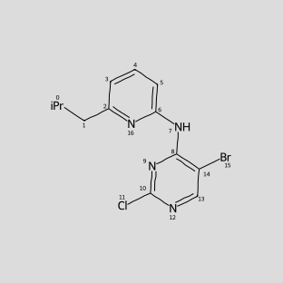 CC(C)Cc1cccc(Nc2nc(Cl)ncc2Br)n1